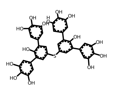 Oc1cc(-c2cc(Sc3cc(-c4cc(O)c(O)c(O)c4)c(O)c(-c4cc(O)c(O)c(O)c4)c3)cc(-c3cc(O)c(O)c(O)c3)c2O)cc(O)c1O